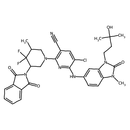 CC1CN(c2nc(Nc3ccc4c(c3)n(CCC(C)(C)O)c(=O)n4C)c(Cl)cc2C#N)CC(N2C(=O)c3ccccc3C2=O)C1(F)F